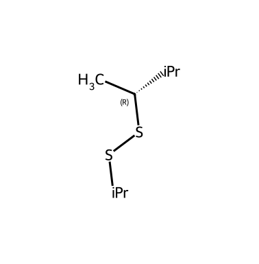 CC(C)SS[C@H](C)C(C)C